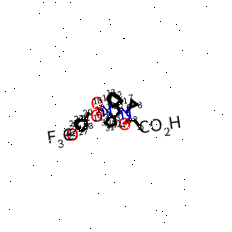 O=C(O)CCC(=O)N(C1CC1)C1c2ccccc2N(C(=O)OCc2ccc(OC(F)(F)F)cc2)C2CCCC21